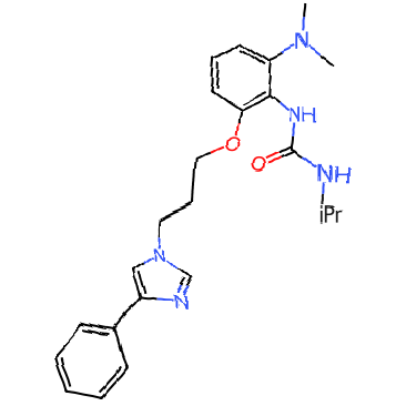 CC(C)NC(=O)Nc1c(OCCCn2cnc(-c3ccccc3)c2)cccc1N(C)C